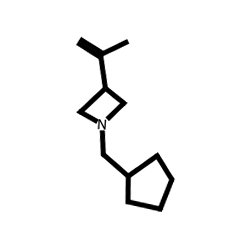 C=C(C)C1CN(CC2CCCC2)C1